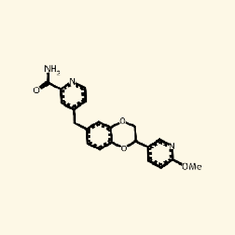 COc1ccc(C2COc3cc(Cc4ccnc(C(N)=O)c4)ccc3O2)cn1